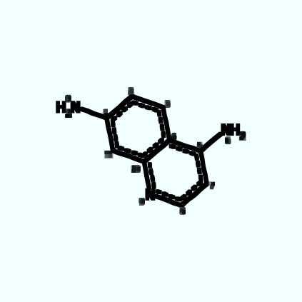 Nc1ccc2c(N)ccnc2c1